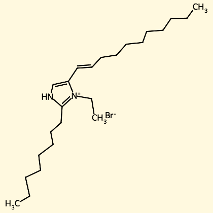 CCCCCCCCCC=Cc1c[nH]c(CCCCCCCC)[n+]1CC.[Br-]